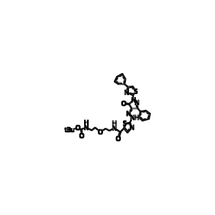 CC(C)(C)OC(=O)NCCOCCNC(=O)c1cnc(N/N=C2/C(=O)N(c3nc(-c4ccccc4)cs3)N=C2c2ccccc2)s1